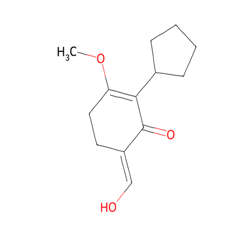 COC1=C(C2CCCC2)C(=O)C(=CO)CC1